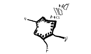 Cl.Cl.Cl.Fc1cc[c]([V])c(F)c1